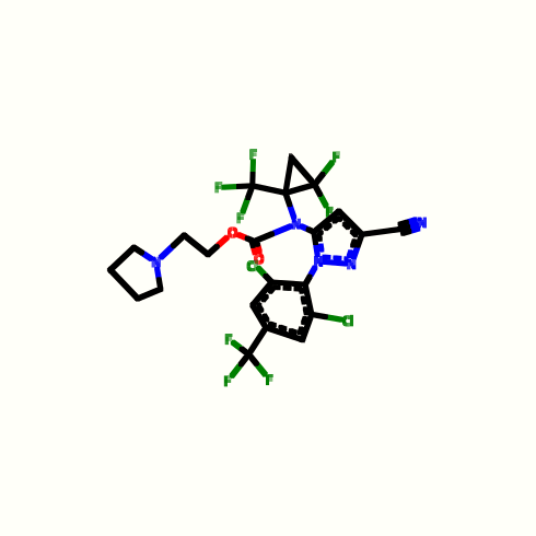 N#Cc1cc(N(C(=O)OCCN2CCCC2)C2(C(F)(F)F)CC2(F)F)n(-c2c(Cl)cc(C(F)(F)F)cc2Cl)n1